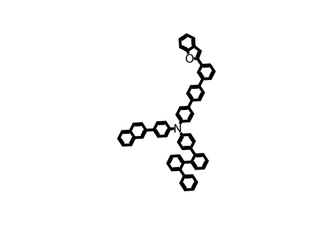 c1ccc(-c2ccccc2-c2ccccc2-c2ccc(N(c3ccc(-c4ccc(-c5cccc(-c6cc7ccccc7o6)c5)cc4)cc3)c3ccc(-c4ccc5ccccc5c4)cc3)cc2)cc1